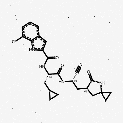 N#C[C@H](C[C@@H]1CC2(CC2)NC1=O)NC(=O)[C@H](CC1CC1)NC(=O)c1cc2cccc(Cl)c2[nH]1